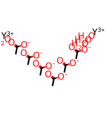 CC(=O)[O-].CC(=O)[O-].CC(=O)[O-].CC(=O)[O-].CC(=O)[O-].CC(=O)[O-].O.O.O.O.[Y+3].[Y+3]